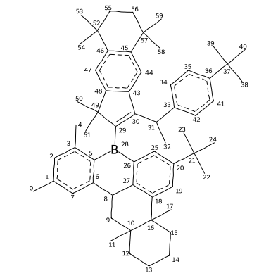 Cc1cc(C)c2c(c1)C1CC3(C)CCCCC3(C)c3cc(C(C)(C)C)cc(c31)B2C1=C(C(C)c2ccc(C(C)(C)C)cc2)c2cc3c(cc2C1(C)C)C(C)(C)CCC3(C)C